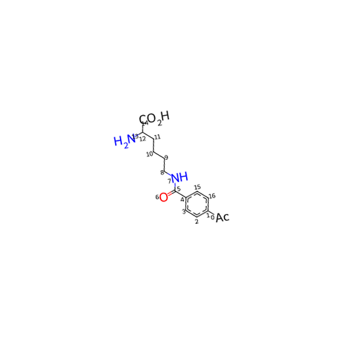 CC(=O)c1ccc(C(=O)NCCCCC(N)C(=O)O)cc1